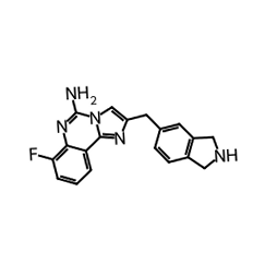 Nc1nc2c(F)cccc2c2nc(Cc3ccc4c(c3)CNC4)cn12